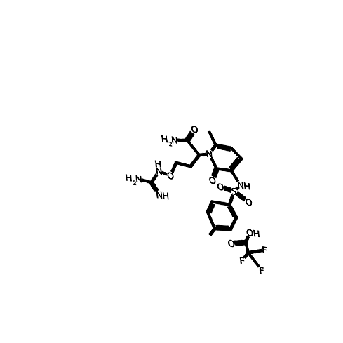 Cc1ccc(S(=O)(=O)Nc2ccc(C)n(C(CCONC(=N)N)C(N)=O)c2=O)cc1.O=C(O)C(F)(F)F